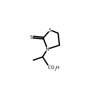 CC(C(=O)O)N1CCSC1=S